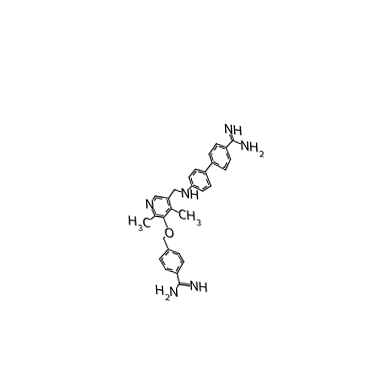 Cc1ncc(CNc2ccc(-c3ccc(C(=N)N)cc3)cc2)c(C)c1OCc1ccc(C(=N)N)cc1